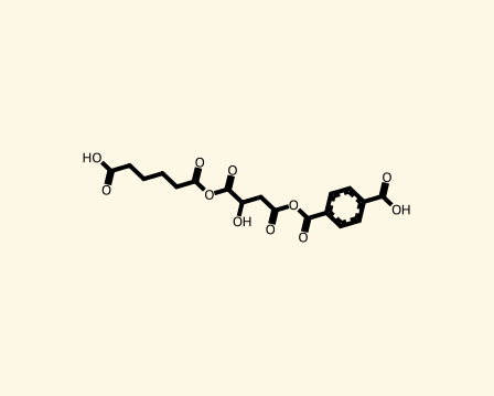 O=C(O)CCCCC(=O)OC(=O)C(O)CC(=O)OC(=O)c1ccc(C(=O)O)cc1